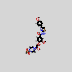 COc1ccc(-c2csc(NC(=O)c3ccc(OCC(=O)N4CCN(S(C)(=O)=O)CC4)c(OC)c3)n2)cc1